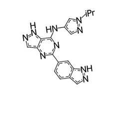 CC(C)n1cc(Nc2nc(-c3ccc4cn[nH]c4c3)nc3cn[nH]c23)cn1